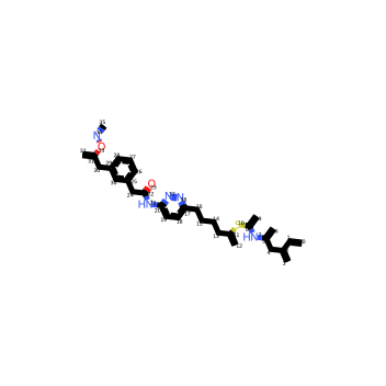 C=CC(=C)CC(=C)NC(=C)SC(=C)CCCCc1ccc(NC(=O)Cc2cccc(CC(=C)ON=C)c2)nn1